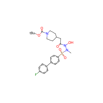 CN(N(O)C(=O)CC1CCN(C(=O)OC(C)(C)C)CC1)S(=O)(=O)c1ccc(-c2ccc(F)cc2)cc1